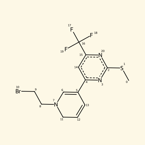 CSc1nc(C2=CN(CCBr)CC=C2)cc(C(F)(F)F)n1